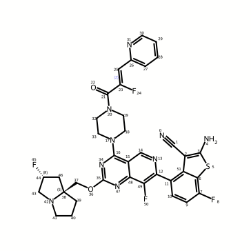 N#Cc1c(N)sc2c(F)ccc(-c3ncc4c(N5CCN(C(=O)/C(F)=C/c6ccccn6)CC5)nc(OC[C@@]56CCCN5C[C@H](F)C6)nc4c3F)c12